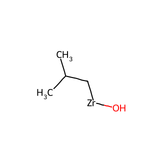 CC(C)[CH2][Zr][OH]